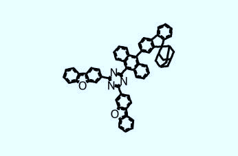 c1ccc2c(c1)-c1ccc(-c3c4ccccc4c(-c4nc(-c5ccc6c(c5)oc5ccccc56)nc(-c5ccc6c(c5)oc5ccccc56)n4)c4ccccc34)cc1C21C2CC3CC(C2)CC1C3